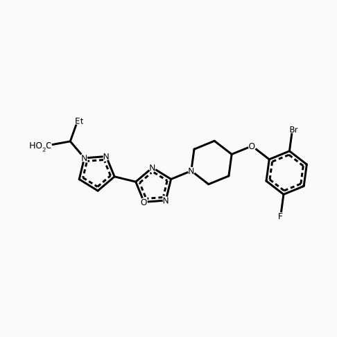 CCC(C(=O)O)n1ccc(-c2nc(N3CCC(Oc4cc(F)ccc4Br)CC3)no2)n1